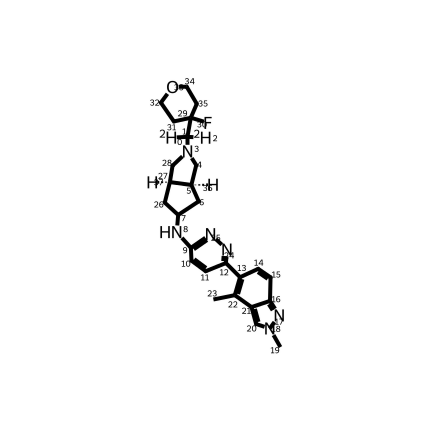 [2H]C([2H])(N1C[C@H]2CC(Nc3ccc(-c4ccc5nn(C)cc5c4C)nn3)C[C@H]2C1)C1(F)CCOCC1